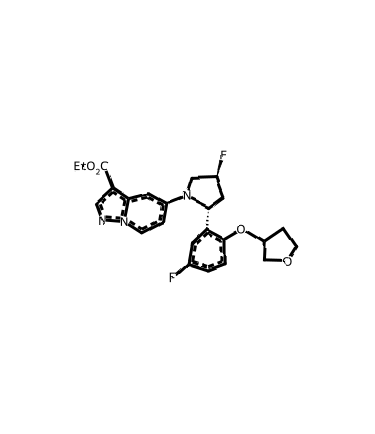 CCOC(=O)c1cnn2ccc(N3C[C@@H](F)C[C@@H]3c3cc(F)ccc3OC3CCOC3)cc12